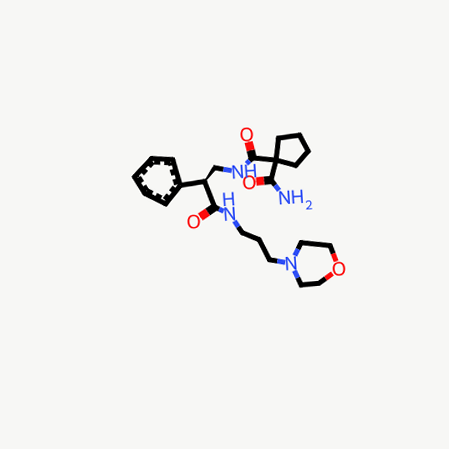 NC(=O)C1(C(=O)NC[C@@H](C(=O)NCCCN2CCOCC2)c2ccccc2)CCCC1